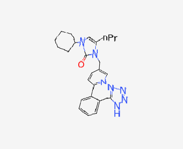 CCCc1cn(C2CCCCC2)c(=O)n1Cc1ccc(-c2ccccc2-c2nnn[nH]2)nc1